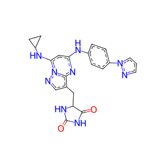 O=C1NC(=O)C(Cc2cnn3c(NC4CC4)cc(Nc4ccc(-n5cccn5)cc4)nc23)N1